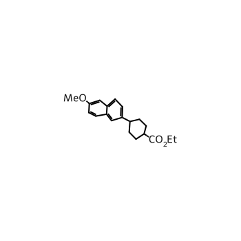 CCOC(=O)C1CCC(c2ccc3cc(OC)ccc3c2)CC1